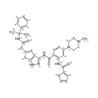 CN1CCN(c2ccc(C(=O)Nc3n[nH]c4sc(OC(=O)NC(C)(C)c5ccccc5)cc34)c(NC(=O)c3ccco3)c2)CC1